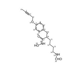 CC#CCOc1ccc(SC(CCCCN[C]=O)C(=O)NO)cc1